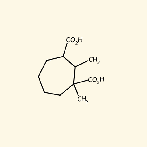 CC1C(C(=O)O)CCCCC1(C)C(=O)O